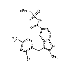 CCCCCS(=O)(=O)NC(=O)c1ccc2nc(C)n(Cc3ccc(C(F)(F)F)cc3Cl)c2c1